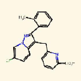 Cc1ccccc1-c1nn2cc(Cl)ccc2c1Cc1cccc(C(=O)O)n1